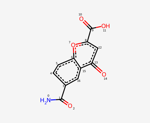 NC(=O)c1ccc2oc(C(=O)O)cc(=O)c2c1